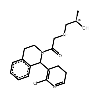 C[C@@H](O)CNCC(=O)N1CCc2ccccc2C1C1=C(Cl)N=CCC1